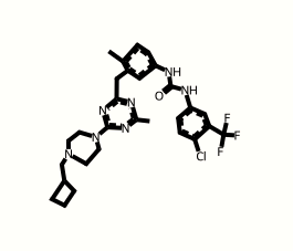 Cc1nc(Cc2cc(NC(=O)Nc3ccc(Cl)c(C(F)(F)F)c3)ccc2C)nc(N2CCN(CC3CCC3)CC2)n1